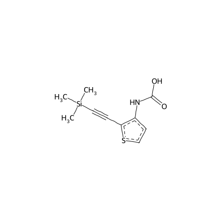 C[Si](C)(C)C#Cc1sccc1NC(=O)O